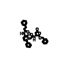 O=C(CCc1ccccc1)Nc1ccc(-c2ccccc2)n(CC(=O)NC2CC(=O)OC2OCc2ccccc2)c1=O